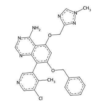 Cc1c(Cl)cncc1-c1c(OCc2ccccc2)cc(OCc2ncn(C)n2)c2c(N)ncnc12